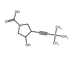 C[Si](C)(C)C#CC1CN(C(=O)O)CC1O